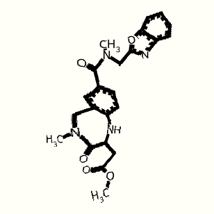 COC(=O)CC1Nc2ccc(C(=O)N(C)Cc3nc4ccccc4o3)cc2CN(C)C1=O